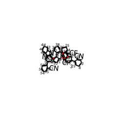 N#Cc1ccccc1-c1ccc2c(c1)c1ccccc1n2-c1cccc(C#N)c1-c1c(-c2cc(C(F)(F)F)cc(C(F)(F)F)c2)cccc1-n1c2ccccc2c2cc(-c3ccccc3C#N)ccc21